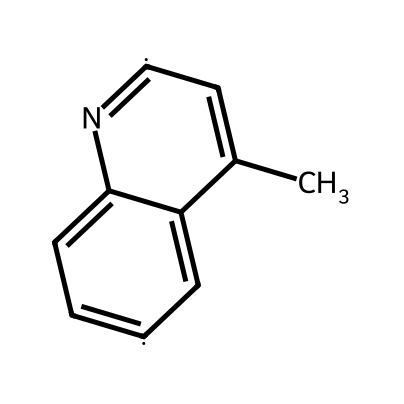 Cc1c[c]nc2cc[c]cc12